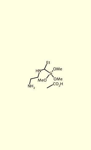 CC(=O)O.CCC(NCCN)[Si](OC)(OC)OC